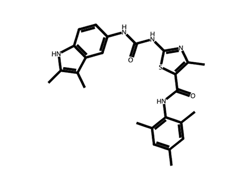 Cc1cc(C)c(NC(=O)c2sc(NC(=O)Nc3ccc4[nH]c(C)c(C)c4c3)nc2C)c(C)c1